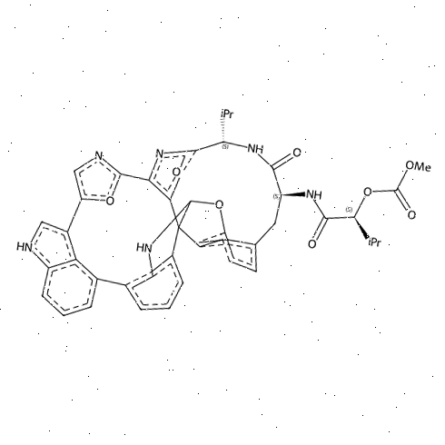 COC(=O)O[C@H](C(=O)N[C@H]1Cc2ccc3c(c2)C24c5cccc(c5NC2O3)-c2cccc3[nH]cc(c23)-c2cnc(o2)-c2nc(oc24)[C@H](C(C)C)NC1=O)C(C)C